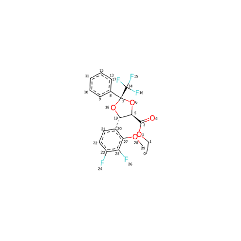 CCOC(=O)[C@@H]1O[C@](c2ccccc2)(C(F)(F)F)O[C@H]1c1ccc(F)c(F)c1OC